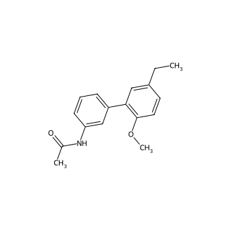 CCc1ccc(OC)c(-c2cccc(NC(C)=O)c2)c1